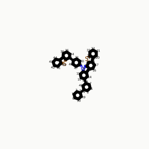 c1ccc(-c2cccc(-c3ccc4c(c3)c3ccc5c6ccccc6sc5c3n4-c3ccc(-c4cccc5c4sc4ccccc45)cc3)c2)cc1